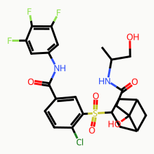 CC(CO)NC(=O)CC1(O)C2CC1CC(S(=O)(=O)c1cc(C(=O)Nc3cc(F)c(F)c(F)c3)ccc1Cl)C2